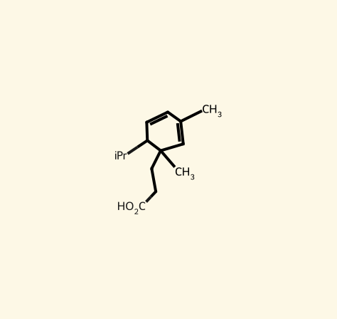 CC1=CC(C)(CCC(=O)O)C(C(C)C)C=C1